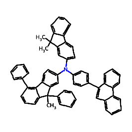 CC1(C)c2ccccc2-c2ccc(N(c3ccc(-c4cc5ccccc5c5ccccc45)cc3)c3ccc4c(c3)C(C)(c3ccccc3)c3cccc(-c5ccccc5)c3-4)cc21